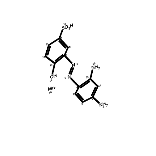 Nc1ccc(N=Nc2cc(S(=O)(=O)O)ccc2O)c(N)c1.[Mn]